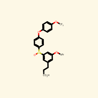 CCCOc1cc(CCC(=O)O)cc([S+]([O-])c2ccc(Oc3ccc(OC(F)(F)F)cc3)cc2)c1